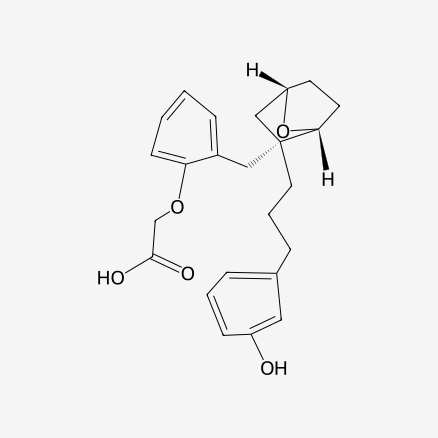 O=C(O)COc1ccccc1C[C@]1(CCCc2cccc(O)c2)C[C@@H]2CC[C@H]1O2